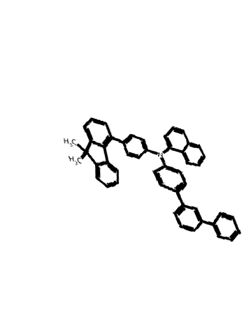 CC1(C)c2ccccc2-c2c(-c3ccc(N(c4ccc(-c5cccc(-c6ccccc6)c5)cc4)c4cccc5ccccc45)cc3)cccc21